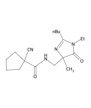 CCCCC1=NC(C)(CNC(=O)C2(C#N)CCCC2)C(=O)N1CC